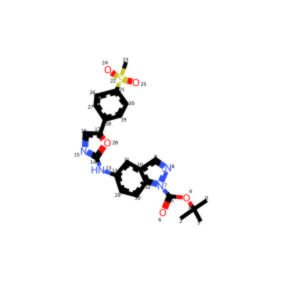 CC(C)(C)OC(=O)n1ncc2cc(Nc3ncc(-c4ccc(S(C)(=O)=O)cc4)o3)ccc21